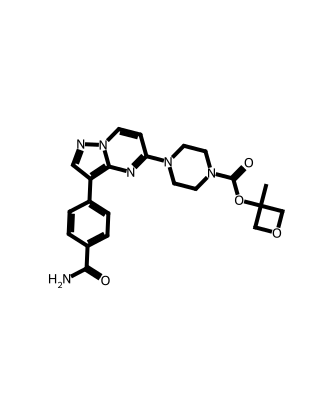 CC1(OC(=O)N2CCN(c3ccn4ncc(-c5ccc(C(N)=O)cc5)c4n3)CC2)COC1